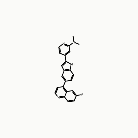 CN(C)c1cc(-c2cc3cc(-c4ccnc5ccc(F)cc45)ccc3[nH]2)ccn1